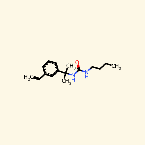 C=Cc1cccc(C(C)(C)NC(=O)NCCCC)c1